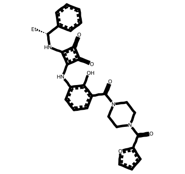 CC[C@@H](Nc1c(Nc2cccc(C(=O)N3CCN(C(=O)c4ccco4)CC3)c2O)c(=O)c1=O)c1ccccc1